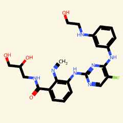 C=Nc1c(Nc2ncc(F)c(Nc3cccc(NCCO)c3)n2)cccc1C(=O)NCC(O)CO